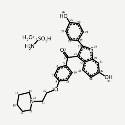 NS(=O)(=O)O.O.O=C(c1ccc(OCCN2CCCCC2)cc1)c1c(-c2ccc(O)cc2)sc2cc(O)ccc12